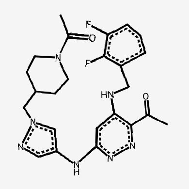 CC(=O)c1nnc(Nc2cnn(CC3CCN(C(C)=O)CC3)c2)cc1NCc1cccc(F)c1F